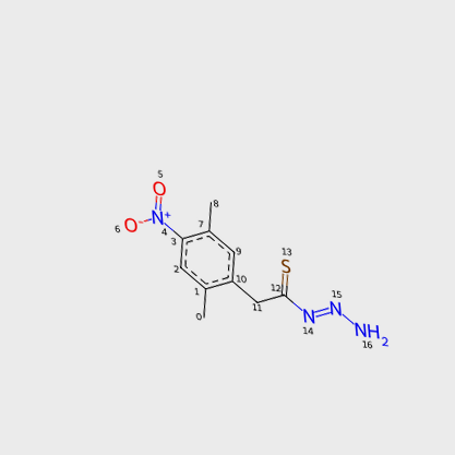 Cc1cc([N+](=O)[O-])c(C)cc1CC(=S)N=NN